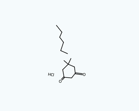 CC1(C)CC(=O)CC(=O)C1.CCCCCC.Cl